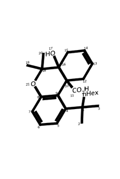 CCCCCCC(C)(C)c1cccc2c1C1(C(=O)O)CC=CCC1(O)C(C)(C)O2